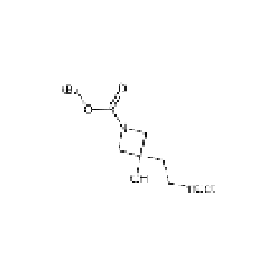 CCCCCCCCCCC1(O)CN(C(=O)OC(C)(C)C)C1